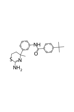 CC(C)(C)c1ccc(C(=O)Nc2cccc(C3(C)CCSC(N)=N3)c2)cc1